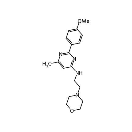 COc1ccc(-c2nc(C)cc(NCCN3CCOCC3)n2)cc1